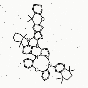 CC1(C)CCC(C)(C)c2cc(N3c4ccc5c(c4)N(c4ccccc4Oc4ccccc43)c3ccc4c6c3B5c3sc5cc7c(cc5c3N6C3(C)CCCCC43C)C(C)(C)c3ccccc3O7)ccc21